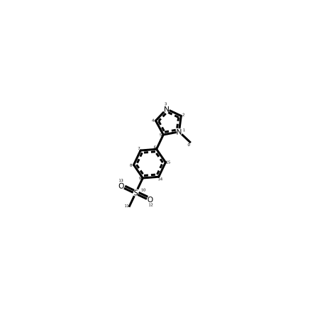 Cn1cncc1-c1ccc(S(C)(=O)=O)cc1